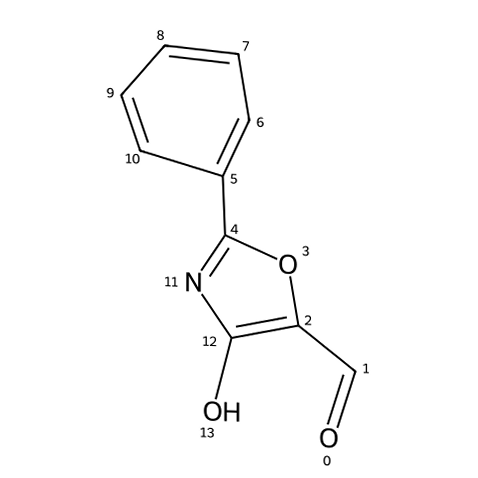 O=Cc1oc(-c2ccccc2)nc1O